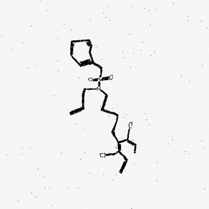 C=C/C(Cl)=C(CCCCN(CCC)S(=O)(=O)Cc1ccccc1)\C(Cl)=C/C